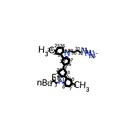 CCCCC(CC)Cn1c2ccc(C)cc2c2cc(-c3ccc4c(c3)c3cc(C)ccc3n4CCCCN=[N+]=[N-])ccc21